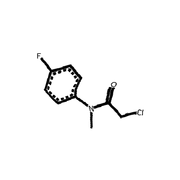 CN(C(=O)CCl)c1ccc(F)cc1